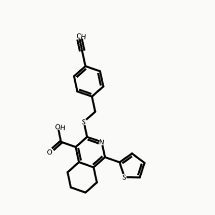 C#Cc1ccc(CSc2nc(-c3cccs3)c3c(c2C(=O)O)CCCC3)cc1